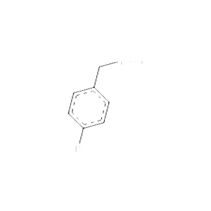 [CH2]CCCCCc1ccc(Br)cc1